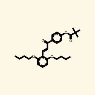 CCCCOc1cccc(OCCCC)c1C=CC(=O)c1ccc(OC(=O)C(C)(C)C)cc1